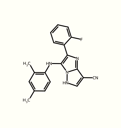 Cc1ccc(Nc2c(-c3ccccc3F)nc3c(C#N)c[nH]n23)c(C)c1